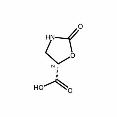 O=C1NC[C@@H](C(=O)O)O1